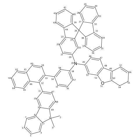 CC1(C)c2ccccc2-c2cc(-c3c(-c4cccc(N(c5ccc6c(c5)C5(c7ccccc7-c7ccccc75)c5ccccc5-6)c5ccc6c7c(oc6c5)CCC=C7)c4)ccc4ccccc34)ccc21